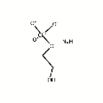 [NaH].[O-][Cl+3]([O-])([O-])OCCO